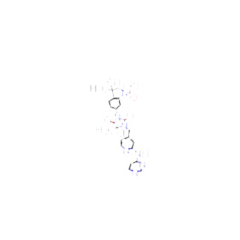 CC(=O)N1CC(C)(C)c2ccc(N3C(=O)N(Cc4ccnc(Nc5ccncn5)c4)C(C)(C)C3=O)cc21